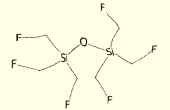 FC[Si](CF)(CF)O[Si](CF)(CF)CF